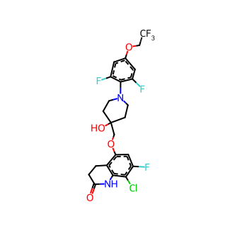 O=C1CCc2c(OCC3(O)CCN(c4c(F)cc(OCC(F)(F)F)cc4F)CC3)cc(F)c(Cl)c2N1